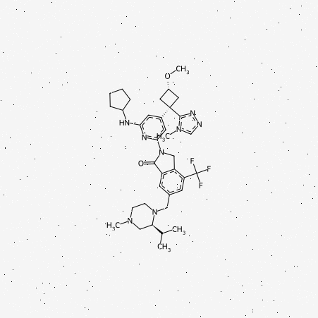 CO[C@H]1C[C@](c2cc(NC3CCCC3)nc(N3Cc4c(cc(CN5CCN(C)C[C@@H]5C(C)C)cc4C(F)(F)F)C3=O)c2)(c2nncn2C)C1